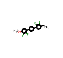 CCc1ccc(-c2ccc(-c3ccc(OC)c(F)c3F)cc2)c(F)c1F